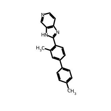 Cc1ccc(-c2ccc(-c3nc4ccncc4[nH]3)c(C)c2)cc1